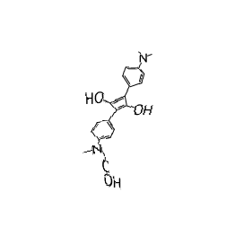 CN(C)c1ccc(C2=C(O)C(c3ccc(N(C)CCO)cc3)=C2O)cc1